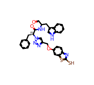 O=CC(Cc1c[nH]c2ccccc12)NC(=O)[C@H](Cc1ccccc1)n1cc(COc2ccc3nc(S)sc3c2)nn1